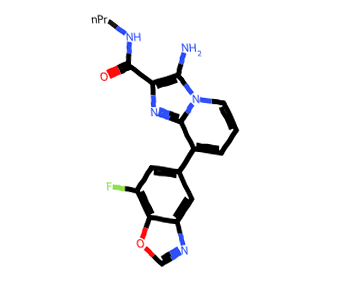 CCCNC(=O)c1nc2c(-c3cc(F)c4ocnc4c3)cccn2c1N